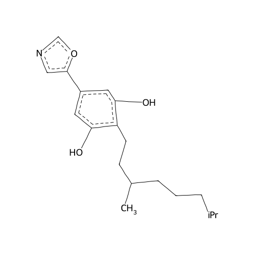 CC(C)CCCC(C)CCc1c(O)cc(-c2cnco2)cc1O